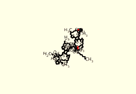 C=CCN1C(=O)c2sc3c(-c4cc5c(-c6ccc(CC(CC)CCCC)s6)c6sc(C(C)(C)C(C)(C)c7sc(-c8cc9c(-c%10ccc(CC(CC)CCCC)s%10)c%10sc([C@](C)(CCC)c%11ccccc%11)cc%10c(-c%10ccc(CC(CC)CCCC)s%10)c9s8)c8sc9c(c78)C(=O)N(CCCCCCCC)C9=O)cc6c(-c6ccc(CC(CC)CCCC)s6)c5s4)sc(C(C)(CCCC)c4ccccc4)c3c2C1=O